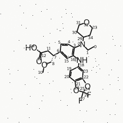 CCN(c1ccc([C@H](COC)CC(=O)O)cc1Nc1ccc2c(c1)OC(F)(F)O2)C1CCOCC1